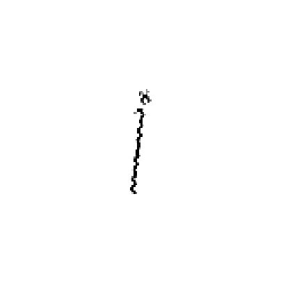 CCCCCCCCC=CCCCCCCCC(=O)OCC(F)(F)F